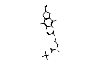 CN(CCNc1cnc2c(F)c3c(c(F)c2n1)CC(C=O)C3)C(=O)OC(C)(C)C